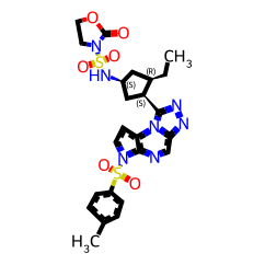 CC[C@@H]1C[C@H](NS(=O)(=O)N2CCOC2=O)C[C@@H]1c1nnc2cnc3c(ccn3S(=O)(=O)c3ccc(C)cc3)n12